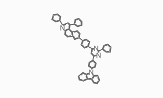 c1ccc(-c2cc(-c3ccccc3)c3c(ccc4cc(-c5ccc(-c6cc(-c7ccc(-n8c9ccccc9c9ccccc98)cc7)nc(-c7ccccc7)n6)cc5)ccc43)n2)cc1